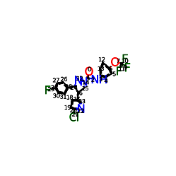 O=C(Nc1ccc(OC(F)(F)F)cc1)N1CC(c2ccc(Cl)nc2)C(c2ccc(F)cc2)=N1